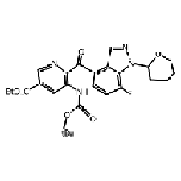 CCOC(=O)c1cnc(C(=O)c2ccc(F)c3c2cnn3C2CCCCO2)c(NC(=O)OC(C)(C)C)c1